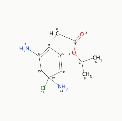 CC(=O)OC(C)C.NC1=CC=CC(N)(Cl)C1